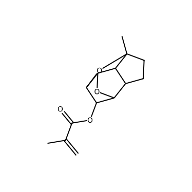 C=C(C)C(=O)OC1C2OC3C1OC1(C)CCC2C31